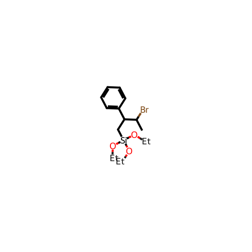 CCO[Si](CC(c1ccccc1)C(C)Br)(OCC)OCC